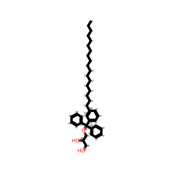 CCCCCCCCCCCCCCCCCCc1cccc(C(OCC(O)CO)(c2ccccc2)c2ccccc2)c1